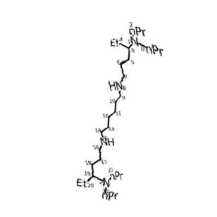 CCCN(CCC)C(CC)CCCNCCCCCCNCCCC(CC)N(CCC)CCC